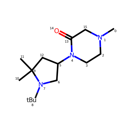 CN1CCN(C2CN(C(C)(C)C)C(C)(C)C2)C(=O)C1